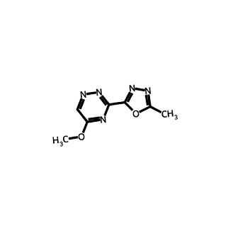 COc1cnnc(-c2nnc(C)o2)n1